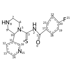 O=C(NC(=S)N1CCNCC1c1cccnc1)c1ccc(F)cc1